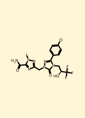 NC(=O)c1nc(Cn2nc(-c3ccc(Cl)cc3)n(C[C@H](O)C(F)(F)F)c2=O)nn1I